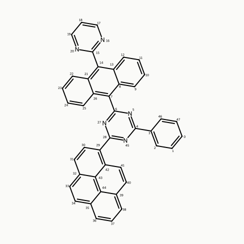 c1ccc(-c2nc(-c3c4ccccc4c(-c4ncccn4)c4ccccc34)nc(-c3ccc4ccc5cccc6ccc3c4c56)n2)cc1